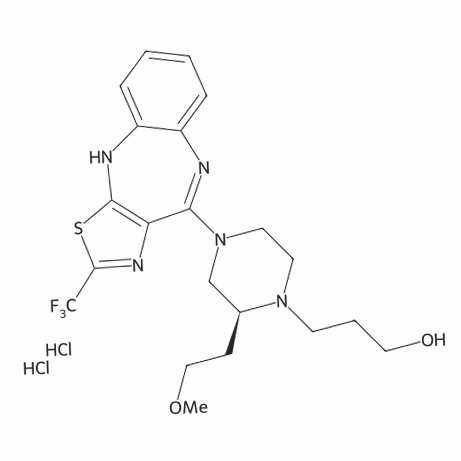 COCC[C@H]1CN(C2=Nc3ccccc3Nc3sc(C(F)(F)F)nc32)CCN1CCCO.Cl.Cl